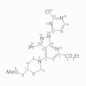 CCOC(=O)c1cc(N2CCC(COC)CC2)c2c(C(C)C)nn(-c3ccnc(Cl)n3)c2n1